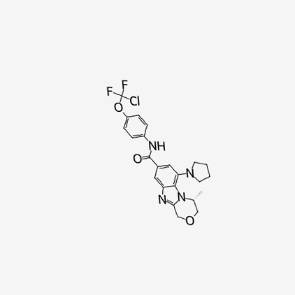 C[C@@H]1COCc2nc3cc(C(=O)Nc4ccc(OC(F)(F)Cl)cc4)cc(N4CCCC4)c3n21